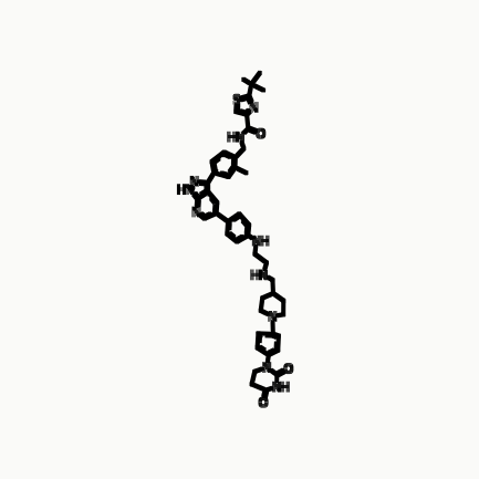 Cc1cc(-c2n[nH]c3ncc(-c4ccc(NCCNCC5CCN(c6ccc(N7CCC(=O)NC7=O)cc6)CC5)cc4)cc23)ccc1CNC(=O)c1csc(C(C)(C)C)n1